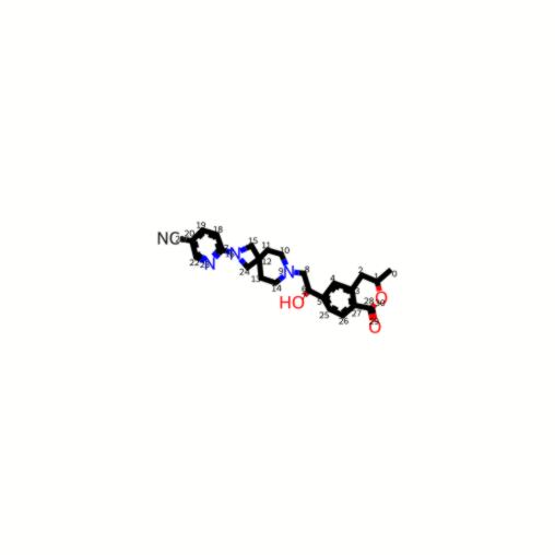 CC1Cc2cc(C(O)CN3CCC4(CC3)CN(c3ccc(C#N)cn3)C4)ccc2C(=O)O1